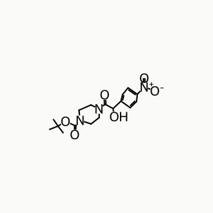 CC(C)(C)OC(=O)N1CCN(C(=O)C(O)c2ccc([N+](=O)[O-])cc2)CC1